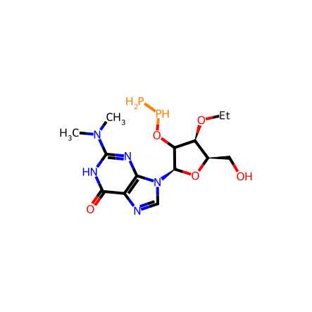 CCO[C@@H]1C(OPP)[C@H](n2cnc3c(=O)[nH]c(N(C)C)nc32)O[C@@H]1CO